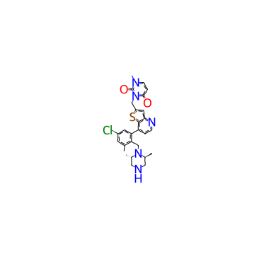 Cc1cc(Cl)cc(-c2ccnc3cc(Cn4c(=O)ccn(C)c4=O)sc23)c1CN1[C@@H](C)CNC[C@@H]1C